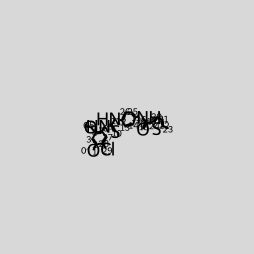 COc1cc(OC)c(NC(=S)Nc2ccc(NC(=O)c3ccc(C)s3)cc2)cc1Cl